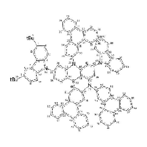 CC(C)(C)c1ccc2c(c1)c1cc(C(C)(C)C)ccc1n2-c1ccc2c(c1)N(c1ccc3c4ccccc4c4ccccc4c3c1)c1cc(-n3c4ccccc4c4ccccc43)cc3c1B2c1cc2c4ccccc4c4ccccc4c2cc1N3c1ccc2c3ccccc3c3ccccc3c2c1